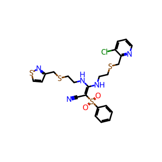 N#CC(=C(NCCSCc1ccsn1)NCCSCc1ncccc1Cl)S(=O)(=O)c1ccccc1